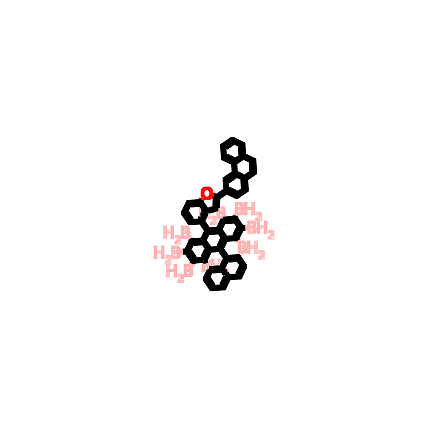 Bc1c(B)c(B)c2c(-c3cccc4oc(-c5ccc6ccc7ccccc7c6c5)cc34)c3c(B)c(B)c(B)c(B)c3c(-c3cccc4ccccc34)c2c1B